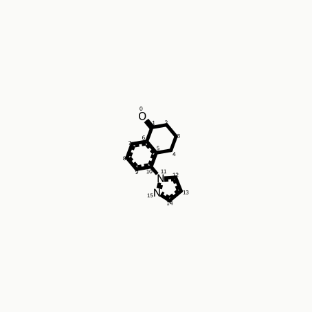 O=C1CCCc2c1cccc2-n1cccn1